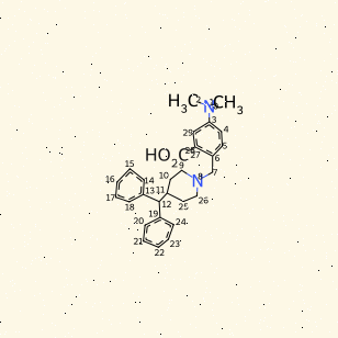 CN(C)c1ccc(CN2CCC(C(c3ccccc3)c3ccccc3)CC2)c(C(=O)O)c1